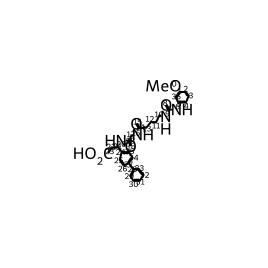 COc1cccc(NC(=O)NCCCCC(=O)NCC(=O)NC(CC(=O)O)c2ccc(-c3ccccc3)cc2)c1